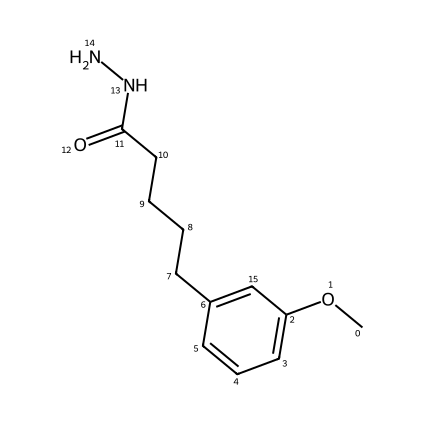 COc1cccc(CCCCC(=O)NN)c1